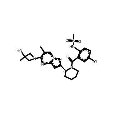 Cc1cn2nc([C@@H]3CCCCN3C(=O)c3cc(Cl)ccc3NS(C)(=O)=O)cc2nc1N1CC(C)(O)C1